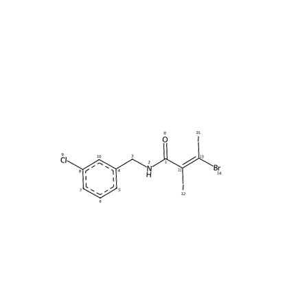 O=C(NCc1cccc(Cl)c1)C(I)=C(Br)I